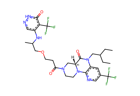 CCC(CC)CN1C(=O)[C@H]2CN(C(=O)CCOCC(C)Nc3cn[nH]c(=O)c3C(F)(F)F)CCN2c2ncc(C(F)(F)F)cc21